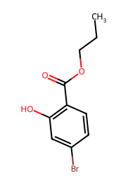 CCCOC(=O)c1ccc(Br)cc1O